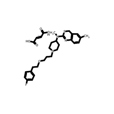 Cc1ccc2c(c1)CSC(N(C)C1CCN(CCCOCCc3ccc(F)cc3)CC1)=N2.O=C(O)/C=C/C(=O)O